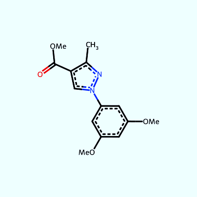 COC(=O)c1cn(-c2cc(OC)cc(OC)c2)nc1C